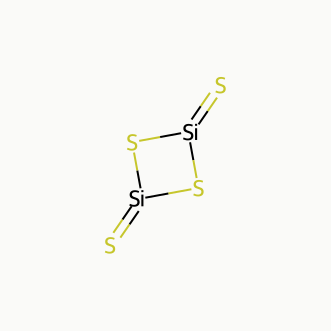 S=[Si]1S[Si](=S)S1